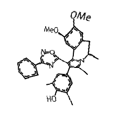 COc1cc2c(cc1OC)-c1c(-c3nc(-c4ccccc4)no3)c(-c3cc(C)c(O)c(C)c3)c(C)n1C(C)C2